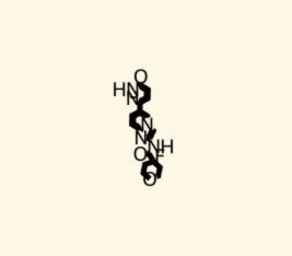 O=C(Nc1cn2cc(-c3ccc(=O)[nH]n3)ccc2n1)C1(F)CCOCC1